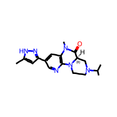 Cc1cc(-c2cnc3c(c2)N(C)C(=O)[C@H]2CN(C(C)C)CCN32)n[nH]1